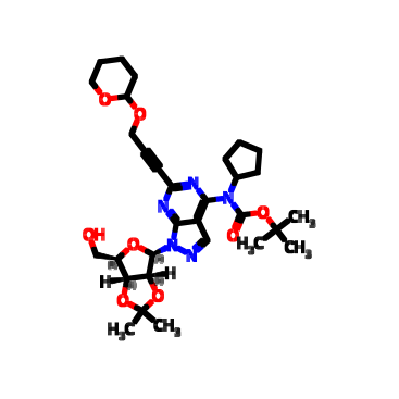 CC(C)(C)OC(=O)N(c1nc(C#CCOC2CCCCO2)nc2c1cnn2[C@@H]1O[C@H](CO)[C@H]2OC(C)(C)O[C@H]21)C1CCCC1